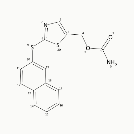 NC(=O)OCc1cnc(Sc2ccc3ccccc3c2)s1